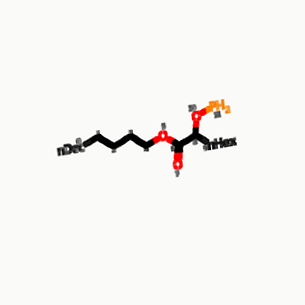 CCCCCCCCCCCCCCOC(=O)C(CCCCCC)OP